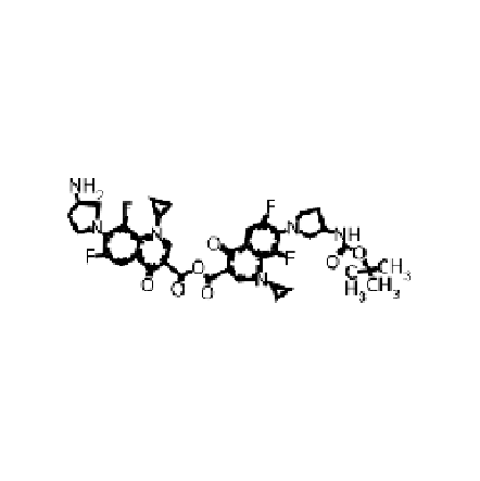 CC(C)(C)OC(=O)NC1CCN(c2c(F)cc3c(=O)c(C(=O)OC(=O)c4cn(C5CC5)c5c(F)c(N6CCC(N)C6)c(F)cc5c4=O)cn(C4CC4)c3c2F)C1